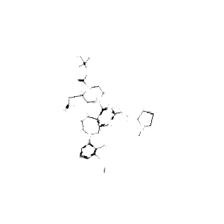 COc1cccc(N2CCCc3c(nc(OC[C@@H]4CCCN4C)nc3N3CCN(C(=O)OC(C)(C)C)C(CC#N)C3)C2)c1C